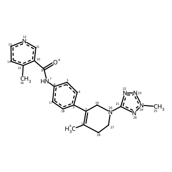 CC1=C(c2ccc(NC(=O)c3cnccc3C)cc2)CN(c2nnn(C)n2)CC1